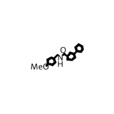 COc1ccc(CNC(=O)c2cccc(-c3ccccc3)c2)cc1